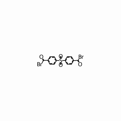 O=C(Br)c1ccc(S(=O)(=O)c2ccc(C(=O)Br)cc2)cc1